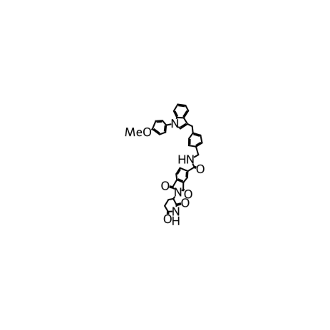 COc1ccc(-n2cc(Cc3ccc(CNC(=O)c4ccc5c(c4)C(=O)N(C4CCC(=O)NC4=O)C5=O)cc3)c3ccccc32)cc1